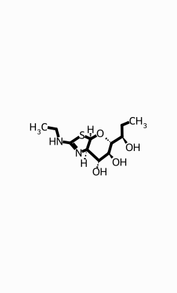 CCNC1=N[C@@H]2[C@@H](O)[C@H](O)[C@@H]([C@H](O)CC)O[C@@H]2S1